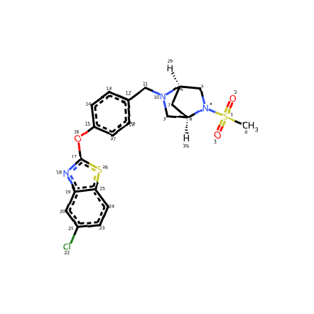 CS(=O)(=O)N1C[C@H]2C[C@@H]1CN2Cc1ccc(Oc2nc3cc(Cl)ccc3s2)cc1